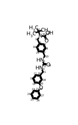 CC(C)(C)N(Cc1ccc(CNC(=O)NCc2cccc(Oc3ccccc3)c2)cc1)C(=O)O